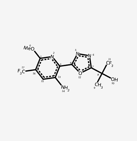 COc1nc(-c2nnc(C(C)(O)C(F)(F)F)o2)c(N)cc1C(F)(F)F